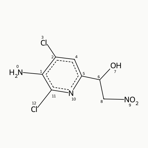 Nc1c(Cl)cc(C(O)C[N+](=O)[O-])nc1Cl